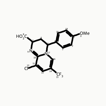 COc1ccc(C2CC(C(=O)O)N=C3C(Cl)=CC(C(F)(F)F)=CN32)cc1